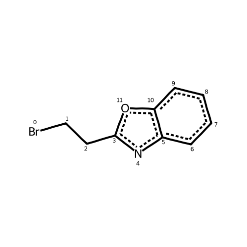 BrCCc1nc2ccccc2o1